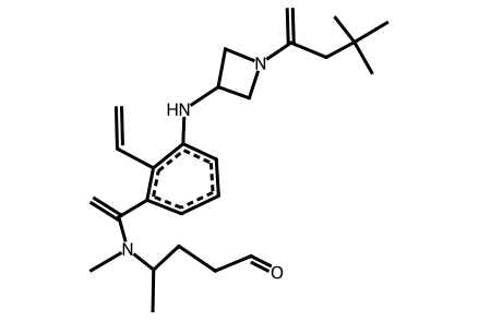 C=Cc1c(NC2CN(C(=C)CC(C)(C)C)C2)cccc1C(=C)N(C)C(C)CCC=O